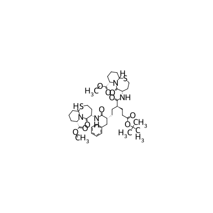 COC(=O)[C@@H]1CCC[C@@H]2SCC[C@H](NC(=O)[C@@H](CCC(=O)OC(C)(C)C)CC[C@H](Cc3ccccc3)C(=O)N[C@H]3CCS[C@H]4CCC[C@@H](C(=O)OC)N4C3=O)C(=O)N21